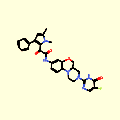 Cc1cc(-c2ccccc2)c(C(=O)C(=O)Nc2ccc3c(c2)OCC2CN(c4ncc(F)c(=O)[nH]4)CCN32)n1C